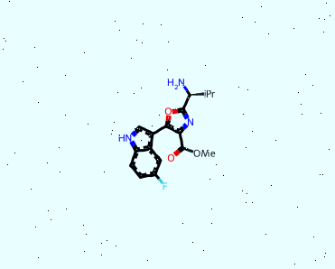 COC(=O)c1nc([C@@H](N)C(C)C)oc1-c1c[nH]c2ccc(F)cc12